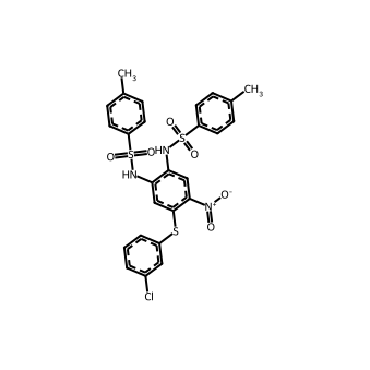 Cc1ccc(S(=O)(=O)Nc2cc(Sc3cccc(Cl)c3)c([N+](=O)[O-])cc2NS(=O)(=O)c2ccc(C)cc2)cc1